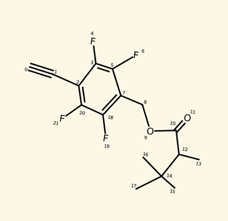 C#Cc1c(F)c(F)c(COC(=O)C(C)C(C)(C)C)c(F)c1F